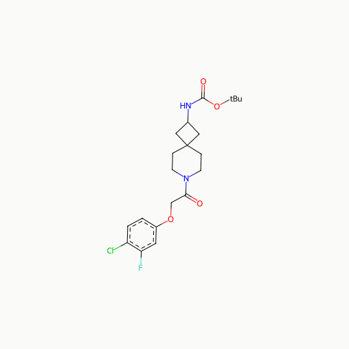 CC(C)(C)OC(=O)NC1CC2(CCN(C(=O)COc3ccc(Cl)c(F)c3)CC2)C1